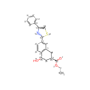 CCOC(=O)[C@@H]1Cc2cc(-c3nc(-c4ccccc4)cs3)ccc2[C@H](O)C1